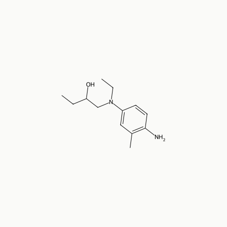 CCC(O)CN(CC)c1ccc(N)c(C)c1